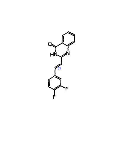 O=c1[nH]c(/C=C/c2ccc(F)c(F)c2)nc2ccccc12